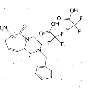 N[C@H]1CC=CC2CN(Cc3ccccc3)CCN2C1=O.O=C(O)C(F)(F)F.O=C(O)C(F)(F)F